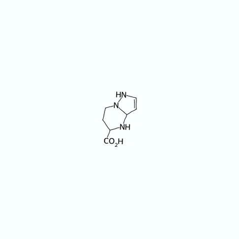 O=C(O)C1CCN2NC=CC2N1